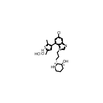 Cc1cc(-c2cc(Cl)cc3ncn(CCC[C@H]4NCCC[C@@H]4O)c23)c(C)s1.Cl.Cl